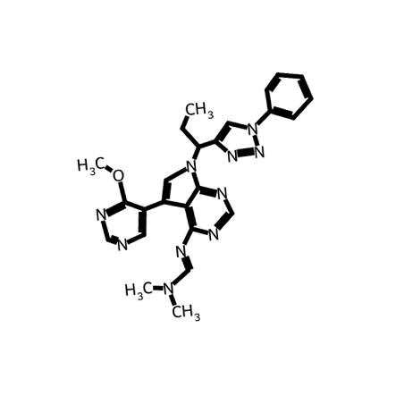 CCC(c1cn(-c2ccccc2)nn1)n1cc(-c2cncnc2OC)c2c(N=CN(C)C)ncnc21